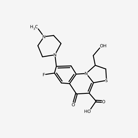 CN1CCN(c2cc3c(cc2F)c(=O)c(C(=O)O)c2n3C(CO)CS2)CC1